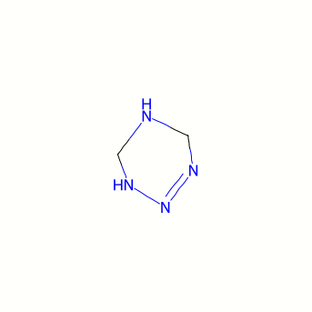 C1N=NNCN1